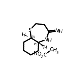 CC(=O)O.N=C1CCS[C@@H]2CCCC[C@H]2N1